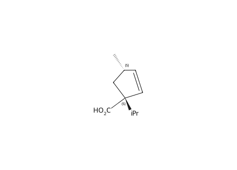 CC(C)[C@]1(C(=O)O)C=C[C@@H](C)C1